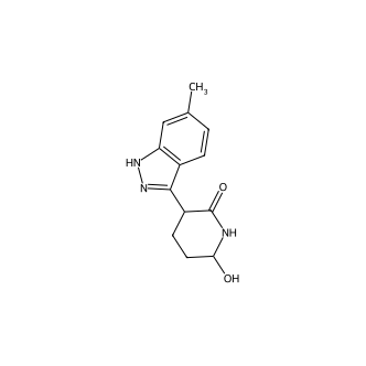 Cc1ccc2c(C3CCC(O)NC3=O)n[nH]c2c1